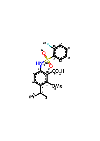 COc1c(C(C)C(C)C)ccc(NS(=O)(=O)c2ccccc2F)c1C(=O)O